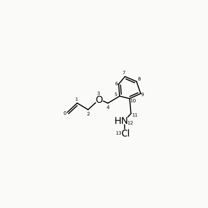 C=CCOCc1ccccc1CNCl